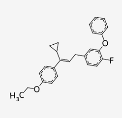 CCOc1ccc(/C(=C/Cc2ccc(F)c(Oc3ccccc3)c2)C2CC2)cc1